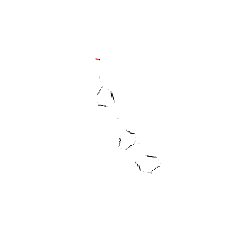 CC(=O)CCc1ccc(OCc2cccc(Oc3ccc(F)cc3)c2)c(C)c1